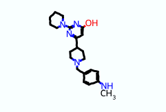 CNc1ccc(CN2CCC(c3cc(O)nc(N4CCCCC4)n3)CC2)cc1